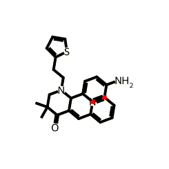 CC1(C)CN(CCc2cccs2)C(c2ccc(N)cc2)/C(=C\c2ccccn2)C1=O